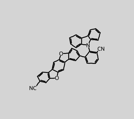 N#Cc1ccc2c(c1)oc1cc3c(cc12)oc1ccc(-c2cccc(C#N)c2-n2c4ccccc4c4ccccc42)cc13